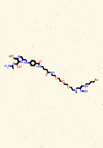 CCC\C=c1/ncc(CNc2ccc(C(=O)NCCCC(=O)NCCOCCOCCOCCN(C)C/C(=C/NCCCCC(C)=O)N=N)cc2)n/c1=C(O)/N=C(\C)N